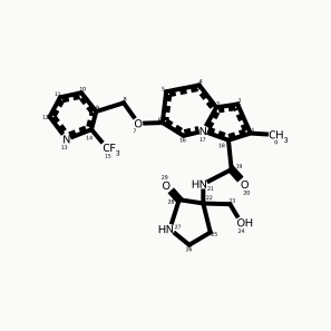 Cc1cc2ccc(OCc3cccnc3C(F)(F)F)cn2c1C(=O)NC1(CO)CCNC1=O